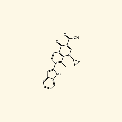 Cc1c(-c2cc3ccccc3[nH]2)ccc2c(=O)c(C(=O)O)cn(C3CC3)c12